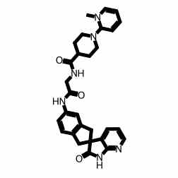 CN1C=CC=CC1N1CCC(C(=O)NCC(=O)Nc2ccc3c(c2)CC2(C3)C(=O)Nc3ncccc32)CC1